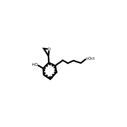 CCCCCCCCCCCCc1cccc(O)c1C1CO1